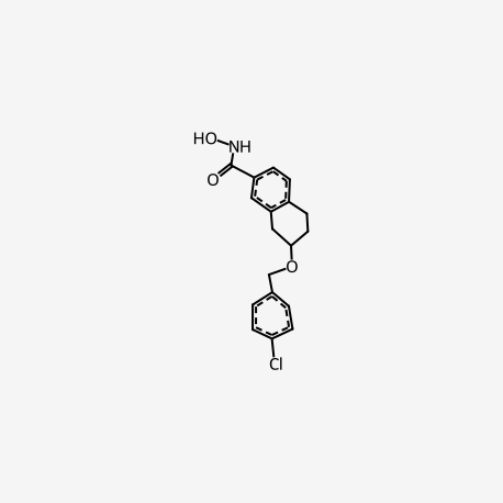 O=C(NO)c1ccc2c(c1)CC(OCc1ccc(Cl)cc1)CC2